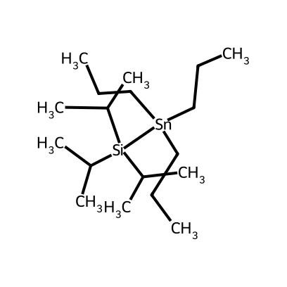 CC[CH2][Sn]([CH2]CC)([CH2]CC)[Si](C(C)C)(C(C)C)C(C)C